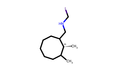 CC1CCCCCC(CNCI)[C@@H]1C